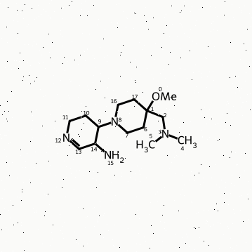 COC1(CN(C)C)CCN(C2CCN=CC2N)CC1